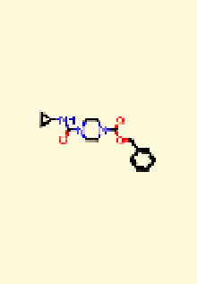 O=C(NC1CC1)N1CCN(C(=O)OCc2ccccc2)CC1